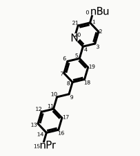 CCCCc1ccc(-c2ccc(CCc3ccc(CCC)cc3)cc2)nc1